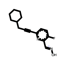 O/N=C/c1nc(C#CCC2CCCCC2)ccc1F